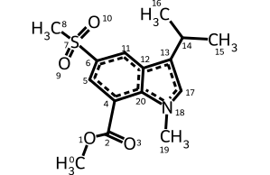 COC(=O)c1cc(S(C)(=O)=O)cc2c(C(C)C)cn(C)c12